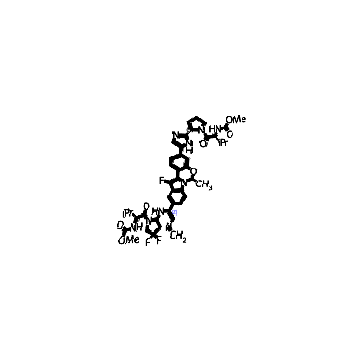 C=N/C=C(\NC1CC(F)(F)CN1C(=O)[C@@H](NC(=O)OC)C(C)C)c1ccc2c(c1)c(F)c1n2C(C)Oc2cc(-c3cnc([C@@H]4CCCN4C(=O)[C@@H](NC(=O)OC)C(C)C)[nH]3)ccc2-1